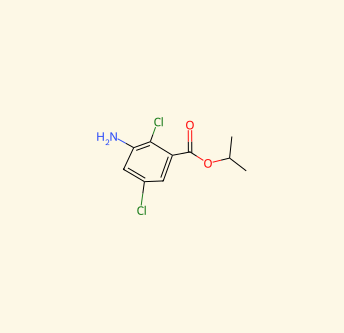 CC(C)OC(=O)c1cc(Cl)cc(N)c1Cl